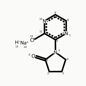 O=C1CCCN1c1nccnc1Cl.[H-].[Na+]